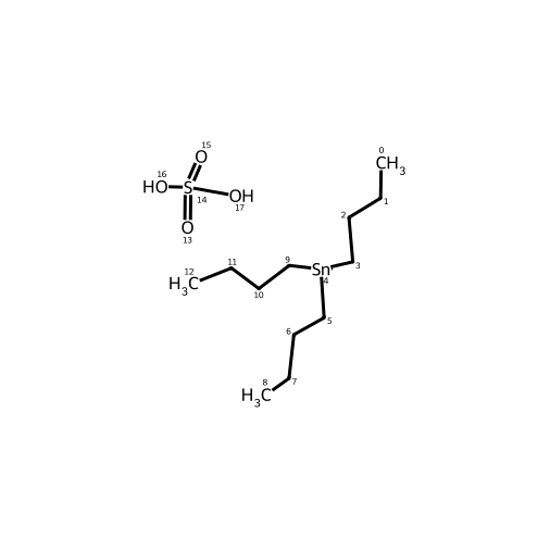 CCC[CH2][Sn]([CH2]CCC)[CH2]CCC.O=S(=O)(O)O